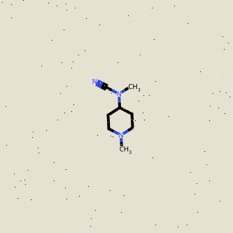 CN1CCC(N(C)C#N)CC1